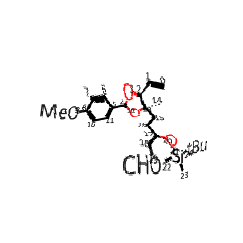 C=C[C@@H]1OC(c2ccc(OC)cc2)O[C@]1(C)CCC(CC=O)O[Si](C)(C)C(C)(C)C